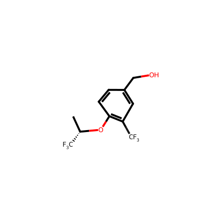 C[C@H](Oc1ccc(CO)cc1C(F)(F)F)C(F)(F)F